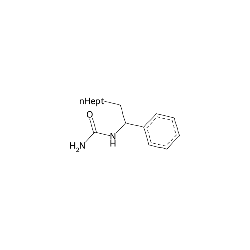 CCCCCCCCC(NC(N)=O)c1ccccc1